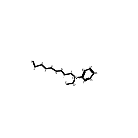 CCCCCCCCCN(CC)c1ccccc1